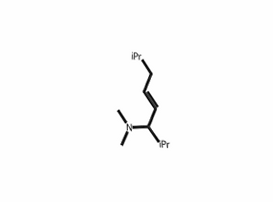 CC(C)CC=CC(C(C)C)N(C)C